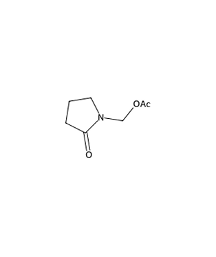 CC(=O)OCN1CCCC1=O